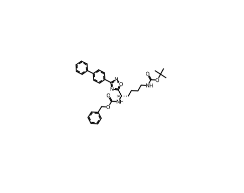 CC(C)(C)OC(=O)NCCCC[C@H](NC(=O)OCc1ccccc1)c1nc(-c2ccc(-c3ccccc3)cc2)no1